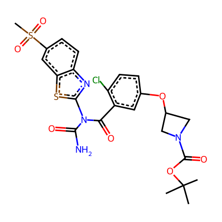 CC(C)(C)OC(=O)N1CC(Oc2ccc(Cl)c(C(=O)N(C(N)=O)c3nc4ccc(S(C)(=O)=O)cc4s3)c2)C1